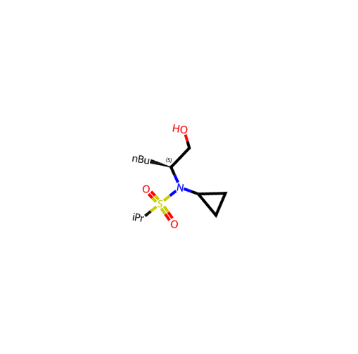 CCCC[C@@H](CO)N(C1CC1)S(=O)(=O)C(C)C